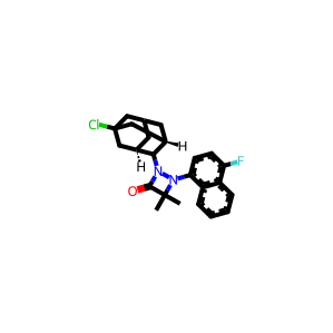 CC1(C)C(=O)N(C2[C@@H]3CC4C[C@H]2CC(Cl)(C4)C3)N1c1ccc(F)c2ccccc12